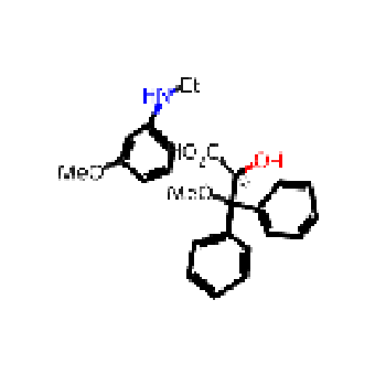 CCNc1cccc(OC)c1.COC(c1ccccc1)(c1ccccc1)[C@H](O)C(=O)O